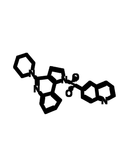 O=S(=O)(c1ccc2ncccc2c1)n1ccc2c(N3CCCCC3)nc3ccccc3c21